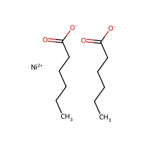 CCCCCC(=O)[O-].CCCCCC(=O)[O-].[Ni+2]